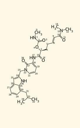 CNC(=O)O[C@@H](CC/C=C/C(=O)N(C)C)C(=O)Nc1cccn(Cc2cc3cccc(CC(C)C)c3[nH]2)c1=O